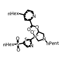 CCCCCCc1ccnc(C(=O)OC2CN(CCCCC)C[N+]2([O-])c2ncc(S(=O)(=O)CCCCCC)s2)c1